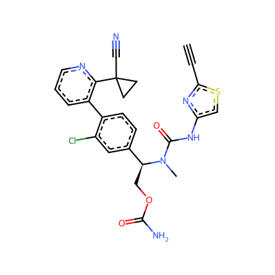 C#Cc1nc(NC(=O)N(C)[C@@H](COC(N)=O)c2ccc(-c3cccnc3C3(C#N)CC3)c(Cl)c2)cs1